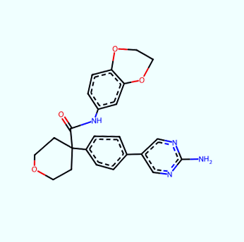 Nc1ncc(-c2ccc(C3(C(=O)Nc4ccc5c(c4)OCCO5)CCOCC3)cc2)cn1